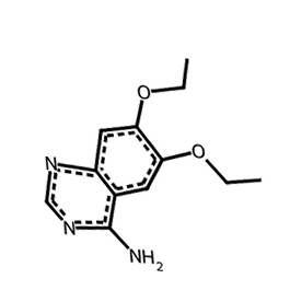 CCOc1cc2ncnc(N)c2cc1OCC